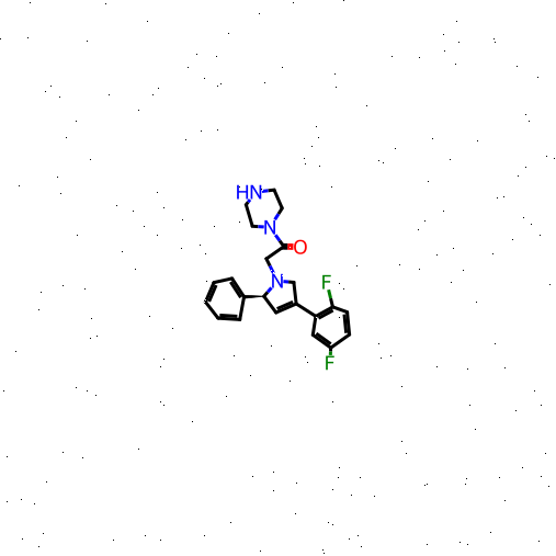 O=C(CN1CC(c2cc(F)ccc2F)=C[C@H]1c1ccccc1)N1CCNCC1